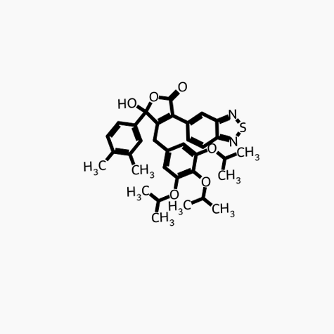 Cc1ccc(C2(O)OC(=O)C(c3ccc4nsnc4c3)=C2Cc2cc(OC(C)C)c(OC(C)C)c(OC(C)C)c2)cc1C